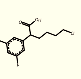 O=C(O)C(CCCCCl)c1cc(F)cc(F)c1